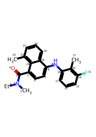 CCN(C)C(=O)c1ccc(Nc2cccc(F)c2C)c2cccc(C)c12